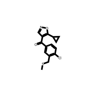 CSCc1cc(C(=O)c2cnoc2C2CC2)ccc1Cl